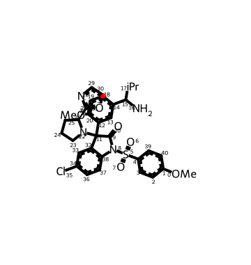 COc1ccc(S(=O)(=O)N2C(=O)C(c3cc(C(N)C(C)C)ccc3OC)(N3CCC[C@H]3c3ncco3)c3cc(Cl)ccc32)cc1